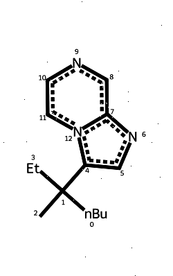 CCCCC(C)(CC)c1cnc2cnccn12